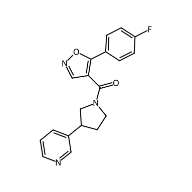 O=C(c1cnoc1-c1ccc(F)cc1)N1CCC(c2cccnc2)C1